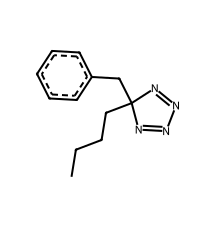 CCCCC1(Cc2ccccc2)N=NN=N1